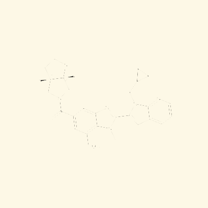 COc1cc(C(=O)N2C[C@@H]3CCN[C@@H]3C2)cc2nc(-c3cc4cccnc4n3CC3CC3)n(C)c12